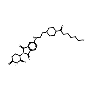 O=C1CCC(N2C(=O)c3ccc(NCCN4CCN(C(=O)CCCCCBr)CC4)cc3C2=O)C(=O)N1